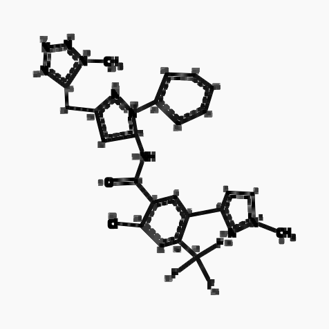 Cn1ccc(-c2cc(C(=O)Nc3cc(Cc4nnnn4C)nn3-c3ccccc3)c(Cl)cc2C(F)(F)F)n1